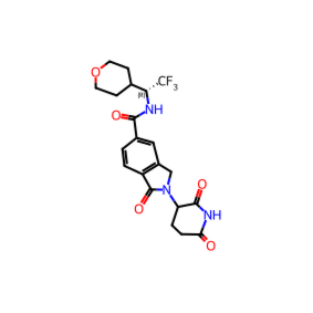 O=C1CCC(N2Cc3cc(C(=O)N[C@H](C4CCOCC4)C(F)(F)F)ccc3C2=O)C(=O)N1